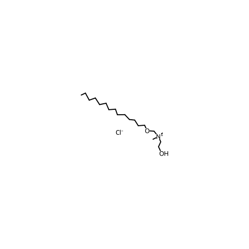 CCCCCCCCCCCCCCOC[N+](C)(C)CCO.[Cl-]